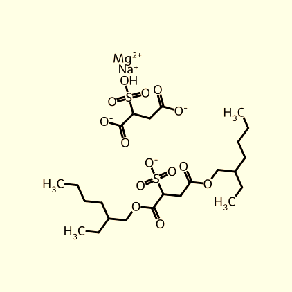 CCCCC(CC)COC(=O)CC(C(=O)OCC(CC)CCCC)S(=O)(=O)[O-].O=C([O-])CC(C(=O)[O-])S(=O)(=O)O.[Mg+2].[Na+]